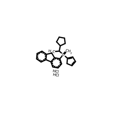 Cl.Cl.[CH2]=[Zr]([C]1=CC=CC1)([c]1cccc2c1Cc1ccccc1-2)[CH](C)C1CCCC1